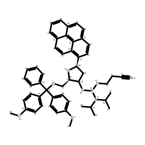 COc1ccc(C(OC[C@H]2O[C@@H](c3ccc4ccc5cccc6ccc3c4c56)CC2OP(OCCC#N)N(C(C)C)C(C)C)(c2ccccc2)c2ccc(OC)cc2)cc1